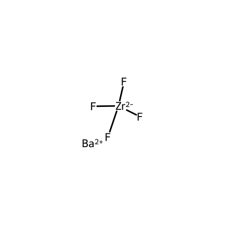 [Ba+2].[F][Zr-2]([F])([F])[F]